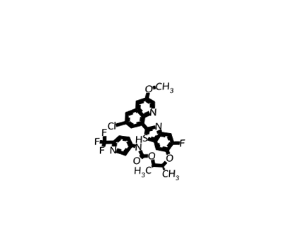 COc1cnc2c(-c3nc4cc(F)c(O[C@@H](C)[C@@H](C)OC(=O)Nc5ccc(C(F)(F)F)nc5)cc4s3)cc(Cl)cc2c1